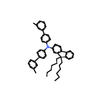 CCCCCCC1(CCCCCC)c2ccccc2-c2ccc(N(c3ccc(-c4cccc(C)c4)cc3)c3ccc(-c4cccc(C)c4)cc3)cc21